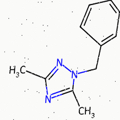 Cc1nc(C)n(Cc2ccccc2)n1